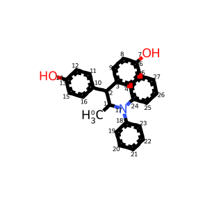 CC(C(c1ccc(O)cc1)c1ccc(O)cc1)N(c1ccccc1)c1ccccc1